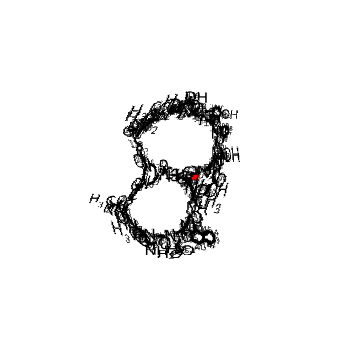 C[C@H](N)C(=O)N[C@H]1CSCC(=O)N2CCN3CCN(CC2)C(=O)CSC[C@@H](NC(=O)[C@@H](C)NC(=O)[C@H](Cc2cccc4ccccc24)NC(=O)[C@H](CCC(=O)O)NC(=O)[C@H](CC(N)=O)NC(=O)[C@@H](C)NC1=O)C(O)N[C@@H](CCC(=O)O)C(=O)N[C@@H](CC(=O)O)C(=O)N[C@@H](Cc1ccccc1)C(=O)N[C@@H](Cc1ccc(O)cc1)C(=O)NC(CC(=O)O)C(=O)N[C@@H](C(C)(C)C)C(=O)N[C@H](C(N)=O)CSCC3=O